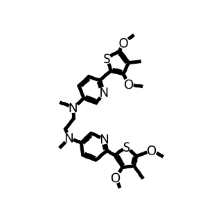 COc1sc(-c2ccc(N(C)CCN(C)c3ccc(-c4sc(OC)c(C)c4OC)nc3)cn2)c(OC)c1C